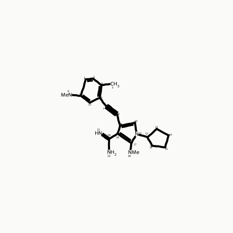 CNc1ccc(C)c(C#Cc2cn(C3CCCC3)c(NC)c2C(=N)N)c1